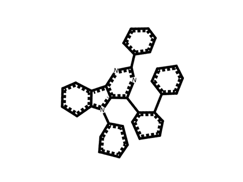 c1ccc(-c2nc(-c3ccccc3-c3ccccc3)c3c(n2)c2ccccc2n3-c2ccccc2)cc1